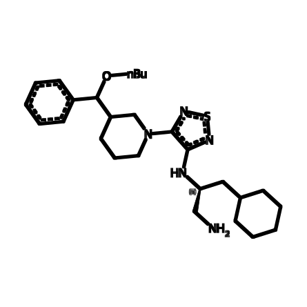 CCCCOC(c1ccccc1)C1CCCN(c2nsnc2N[C@H](CN)CC2CCCCC2)C1